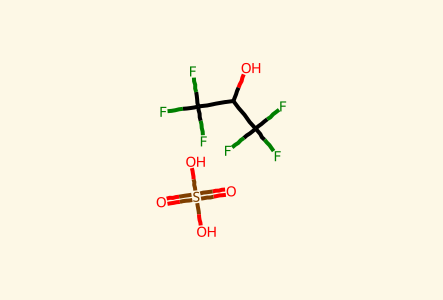 O=S(=O)(O)O.OC(C(F)(F)F)C(F)(F)F